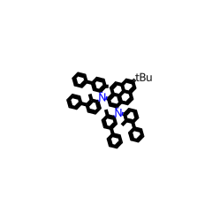 Cc1ccc(-c2ccccc2)cc1N(c1cccc(-c2ccccc2)c1C)c1cc(N(c2cc(-c3ccccc3)ccc2C)c2cccc(-c3ccccc3)c2C)c2c3c1C=CC1=CC(C(C)(C)C)=CC(C=C2)C13